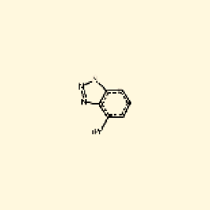 CC(C)c1cccc2c1N=N[N]2